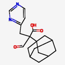 O=CC(Cc1ccncn1)(C(=O)O)C12CC3CC(CC(C3)C1)C2